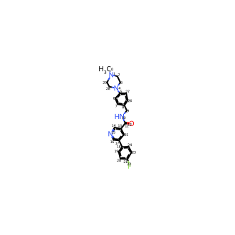 CN1CCN(c2ccc(CNC(=O)c3cncc(-c4ccc(F)cc4)c3)cc2)CC1